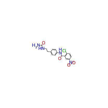 NC(=O)NCCc1ccc(NC(=O)c2cc([N+](=O)[O-])ccc2Cl)cc1